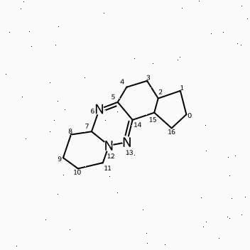 C1CC2CCC3=NC4CCCCN4N=C3C2C1